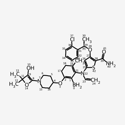 BC1=C(OC2CCN(C3=C(O)C(C)(C)O3)CC2)CCC(C)=C1N(C=C)c1cc(O[C@H](C)c2ccccc2Cl)c(C(N)=O)s1